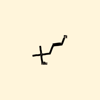 CCC=CC[Si](C)(C)CCCC